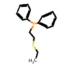 CCSCCP(c1ccccc1)c1ccccc1